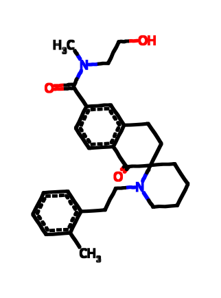 Cc1ccccc1CCN1CCCCC12CCc1cc(C(=O)N(C)CCO)ccc1C2=O